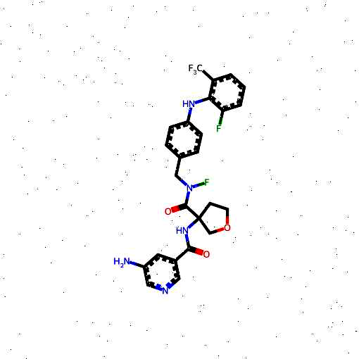 Nc1cncc(C(=O)NC2(C(=O)N(F)Cc3ccc(Nc4c(F)cccc4C(F)(F)F)cc3)CCOC2)c1